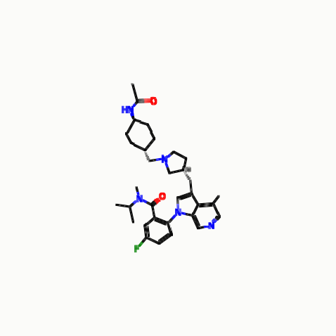 CC(=O)N[C@H]1CC[C@H](CN2CC[C@H](Cc3cn(-c4ccc(F)cc4C(=O)N(C)C(C)C)c4cncc(C)c34)C2)CC1